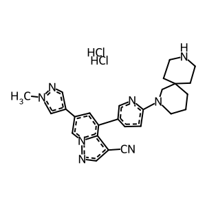 Cl.Cl.Cn1cc(-c2cc(-c3ccc(N4CCCC5(CCNCC5)C4)nc3)c3c(C#N)cnn3c2)cn1